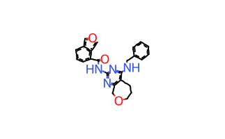 O=C(Nc1nc2c(c(NCc3ccccc3)n1)CCCOC2)c1cccc2cocc12